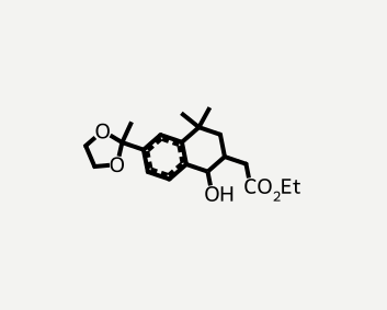 CCOC(=O)CC1CC(C)(C)c2cc(C3(C)OCCO3)ccc2C1O